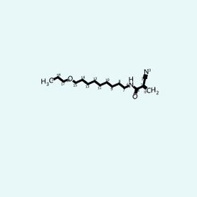 C=C(C#N)C(=O)NCCCCCCCCCOCCC